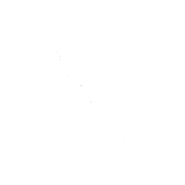 [CH2]C(C)=C(C)CCCCCCCCCCCCC